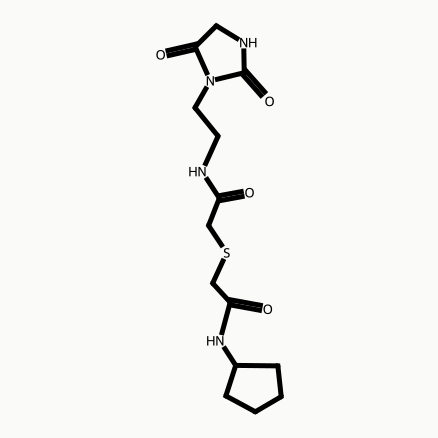 O=C(CSCC(=O)NC1CCCC1)NCCN1C(=O)CNC1=O